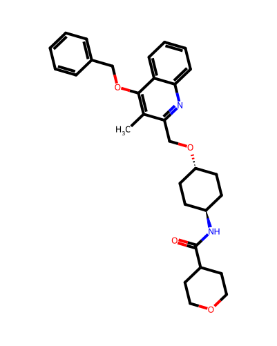 Cc1c(CO[C@H]2CC[C@H](NC(=O)C3CCOCC3)CC2)nc2ccccc2c1OCc1ccccc1